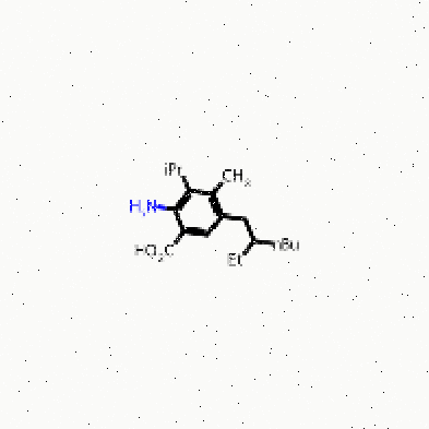 CCCCC(CC)Cc1cc(C(=O)O)c(N)c(C(C)C)c1C